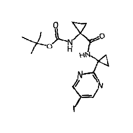 CC(C)(C)OC(=O)NC1(C(=O)NC2(c3ncc(I)cn3)CC2)CC1